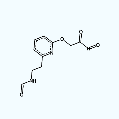 O=CNCCc1cccc(OCC(=O)N=O)n1